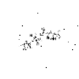 Cc1nnc(C2[C@H]3CN(C(=O)c4cc(C(C)C)[nH]n4)C[C@@H]23)o1